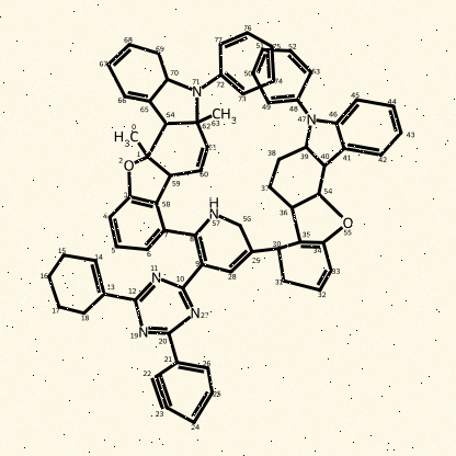 CC12Oc3cccc(C4=C(c5nc(C6=CCCCC6)nc(-c6c#cccc6)n5)C=C(C5CC=CC6=C5C5CCC7C(c8ccccc8N7c7ccccc7)C5O6)CN4)c3C1C=CC1(C)C2C2=CC=CCC2N1c1ccccc1